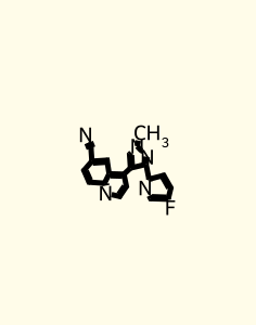 Cn1cc(-c2ccnc3ccc(C#N)cc23)c(-c2ccc(F)cn2)n1